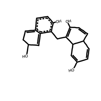 OC1=CC2C(Cc3c(O)ccc4c3=CC(O)CC=4)=C(O)C=CC2C=C1